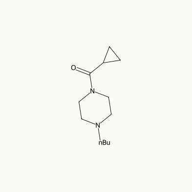 CCCCN1CCN(C(=O)C2CC2)CC1